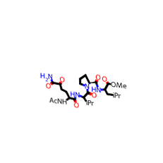 COC(=O)C(CC(C)C)NC(=O)[C@@H]1CCCN1C(=O)C(NC(=O)C(CCC(=O)C(N)=O)NC(C)=O)C(C)C